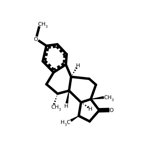 COc1ccc2c(c1)C[C@@H](C)[C@H]1[C@@H]3[C@H](C)CC(=O)[C@@]3(C)CC[C@H]21